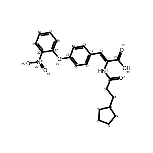 O=C(CCC1CCCC1)NC(=Cc1ccc(Oc2ccccc2[N+](=O)[O-])cc1)C(=O)O